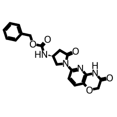 O=C1COc2ccc(N3C[C@H](NC(=O)OCc4ccccc4)CC3=O)nc2N1